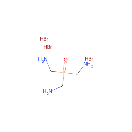 Br.Br.Br.NCP(=O)(CN)CN